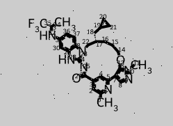 Cc1cc2cc(n1)-c1cnn(C)c1OCCC[C@@H](CC1CC1)CN1/C(=N/C2=O)Nc2cc(N[C@@H](C)C(F)(F)F)ccc21